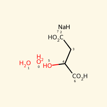 O.O.O=C(O)CC(O)C(=O)O.[NaH]